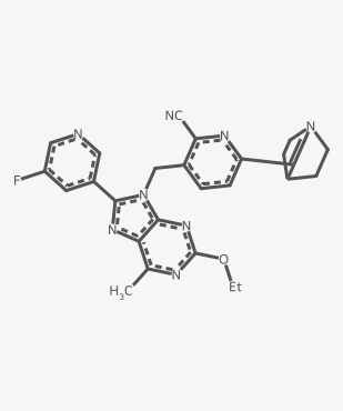 CCOc1nc(C)c2nc(-c3cncc(F)c3)n(Cc3ccc(C4=CN5CCC4CC5)nc3C#N)c2n1